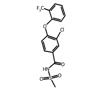 CS(=O)(=O)NC(=O)c1ccc(Oc2ccccc2C(F)(F)F)c(Cl)c1